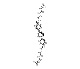 c1cc(-c2ccc(-c3ccc(OCCCCCCC4CC4)cn3)nn2)ncc1OCCCCCCC1CC1